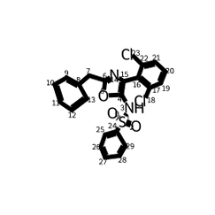 O=S(=O)(Nc1oc(Cc2ccccc2)nc1-c1c(Cl)cccc1Cl)c1ccccc1